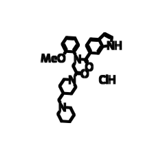 COc1ccccc1N(CC(=O)N1CCC(CN2CCCCC2)CC1)C(=O)c1ccc2cc[nH]c2c1.Cl